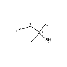 CC(C)(S)CF